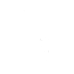 C=C(O)c1ccc(-c2ccc(C(=O)N[C@@H](Cc3ccc(OC)c(OC)c3)C(=O)O)o2)cc1